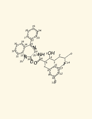 CCCCC(O)C(Cc1cc(F)cc(F)c1)C(=O)N[C@H]1N=C(c2ccccc2)c2ccccc2N(C)C1=O